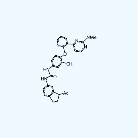 CNc1nccc(-c2cccnc2Oc2ccc(NC(=O)Nc3ccc4c(c3)C(C(C)=O)CC4)cc2C)n1